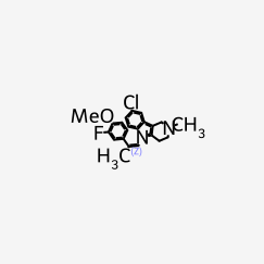 COc1ccc(/C(C)=C\n2c3c(c4cc(Cl)ccc42)CN(C)CC3)cc1F